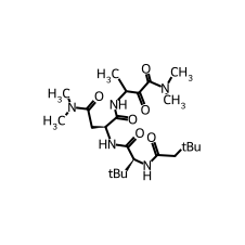 CC(NC(=O)[C@H](CC(=O)N(C)C)NC(=O)[C@@H](NC(=O)CC(C)(C)C)C(C)(C)C)C(=O)C(=O)N(C)C